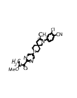 CON(C)C(=O)c1ncc(N2CCC3(CC2)C[C@H](C)N(c2ccc(C#N)c(Cl)c2)C3)cn1